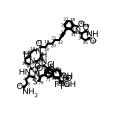 NC(=O)CCC(NC(=O)[C@@H]1CC[C@@H]2CCN(C(=O)CCCCCC#Cc3cccc4c3CN(C3CCC(=O)NC3=O)C4=O)C[C@H](NC(=O)c3cc4cc(C(F)(F)P(=O)(O)O)ccc4s3)C(=O)N21)c1nc(-c2ccc(F)c(Cl)c2)cs1